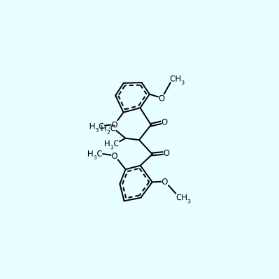 [CH2]C(C)C(C(=O)c1c(OC)cccc1OC)C(=O)c1c(OC)cccc1OC